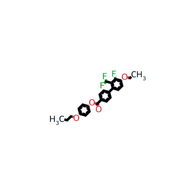 CCCOc1ccc(OC(=O)c2ccc(-c3ccc(OCC)c(F)c3C(F)F)cc2)cc1